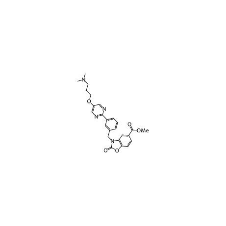 COC(=O)c1ccc2oc(=O)n(Cc3cccc(-c4ncc(OCCCN(C)C)cn4)c3)c2c1